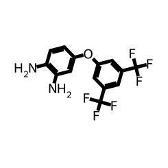 Nc1ccc(Oc2cc(C(F)(F)F)cc(C(F)(F)F)c2)cc1N